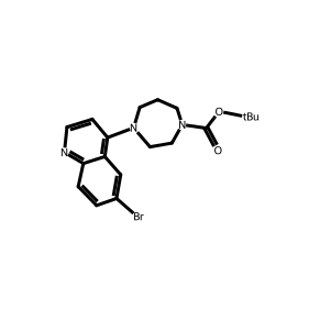 CC(C)(C)OC(=O)N1CCCN(c2ccnc3ccc(Br)cc23)CC1